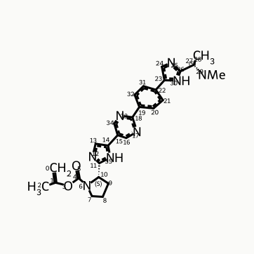 C=C(C)OC(=O)N1CCC[C@H]1c1ncc(-c2cnc(-c3ccc(-c4cnc([C@H](C)NC)[nH]4)cc3)nc2)[nH]1